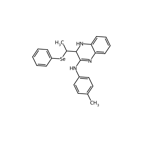 Cc1ccc(NC2=Nc3ccccc3NC2C(C)[Se]c2ccccc2)cc1